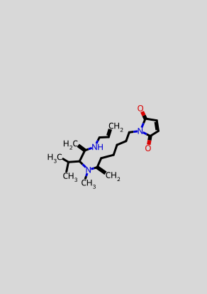 C=CCNC(=C)C(C(C)C)N(C)C(=C)CCCCCN1C(=O)C=CC1=O